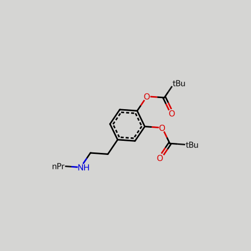 CCCNCCc1ccc(OC(=O)C(C)(C)C)c(OC(=O)C(C)(C)C)c1